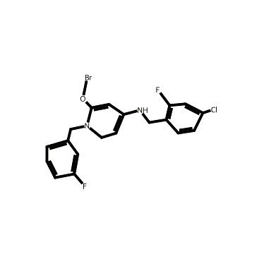 Fc1cccc(CN2CC=C(NCc3ccc(Cl)cc3F)C=C2OBr)c1